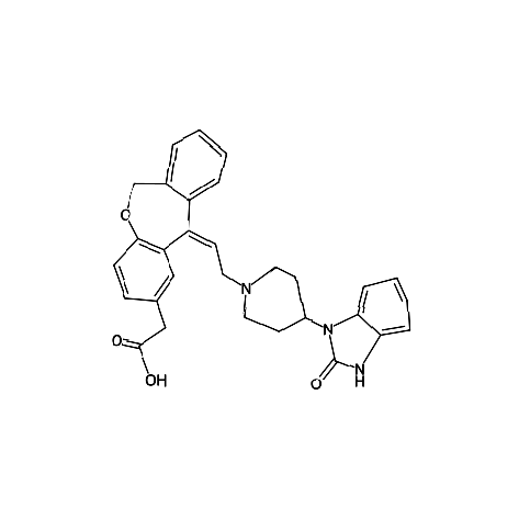 O=C(O)Cc1ccc2c(c1)C(=CCN1CCC(n3c(=O)[nH]c4ccccc43)CC1)c1ccccc1CO2